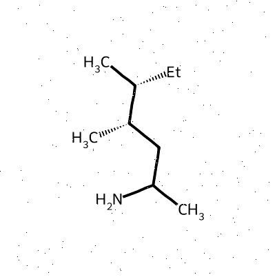 CC[C@@H](C)[C@@H](C)CC(C)N